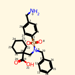 NCc1ccc(S(=O)(=O)N(Cc2ccccc2)CC2(C(=O)O)CCCCC2)cc1